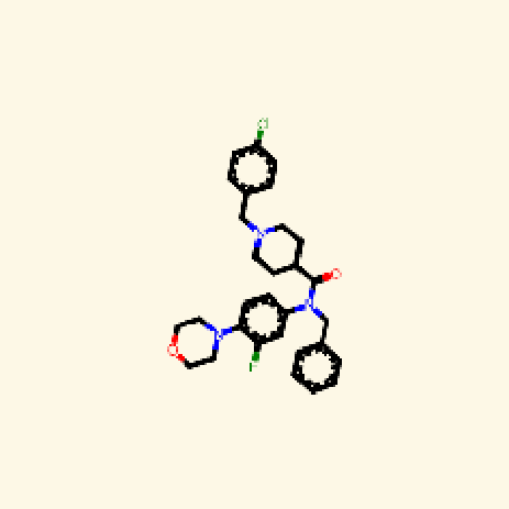 O=C(C1CCN(Cc2ccc(Cl)cc2)CC1)N(Cc1ccccc1)c1ccc(N2CCOCC2)c(F)c1